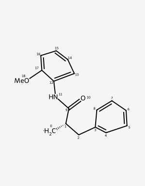 [CH2][C@@H](Cc1ccccc1)C(=O)Nc1ccccc1OC